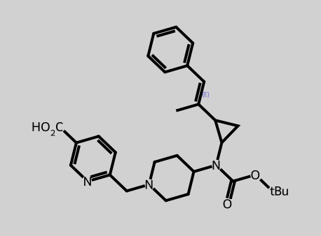 C/C(=C\c1ccccc1)C1CC1N(C(=O)OC(C)(C)C)C1CCN(Cc2ccc(C(=O)O)cn2)CC1